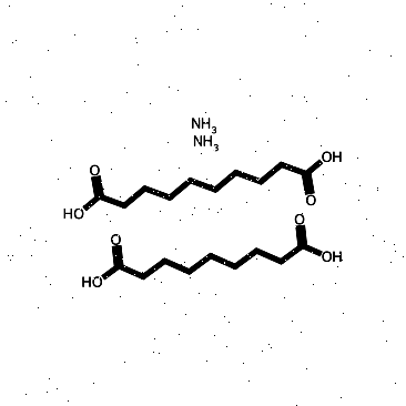 N.N.O=C(O)CCCCCCCC(=O)O.O=C(O)CCCCCCCCC(=O)O